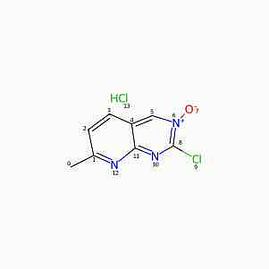 Cc1ccc2c[n+]([O-])c(Cl)nc2n1.Cl